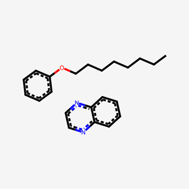 CCCCCCCCOc1ccccc1.c1ccc2nccnc2c1